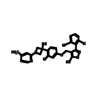 CCC(C)c1onc(-c2c(Cl)cccc2Cl)c1COc1ccc(C2(O)CN(c3cc(C(=O)O)ccn3)C2)c(Cl)c1